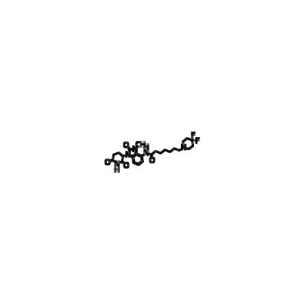 Cn1c(=O)n(C2CCC(=O)NC2=O)c2cccc(NC(=O)CCCCCCN3CCC(F)(F)CC3)c21